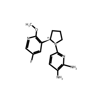 COc1ncc(F)cc1[C@H]1CCCN1c1ccc(N)c(N)n1